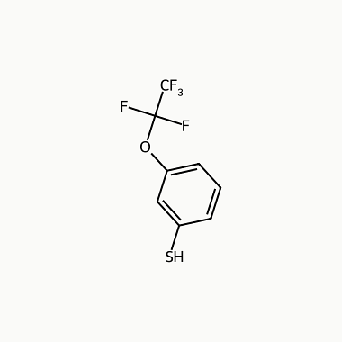 FC(F)(F)C(F)(F)Oc1cccc(S)c1